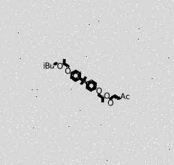 CCC(C)COC(C)COc1ccc(C(C)(C)c2ccc(OCC(C)OC(=O)/C=C/C(C)=O)cc2)cc1